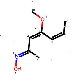 C\C=C/C(=C\C(C)=N\O)OC